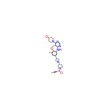 CC#CC(=O)N1CCC(N2CC(c3cc(C)c4c(c3)Nc3ncnc(N5CC[S+]([O-])CC5)c3CO4)C2)C1